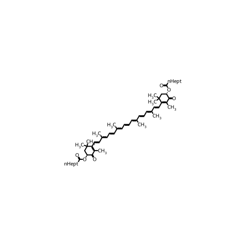 CCCCCCCC(=O)O[C@H]1CC(C)(C)C(/C=C/C(C)=C/C=C/C(C)=C/C=C/C=C(C)/C=C/C=C(C)/C=C/C2=C(C)C(=O)[C@@H](OC(=O)CCCCCCC)CC2(C)C)=C(C)C1=O